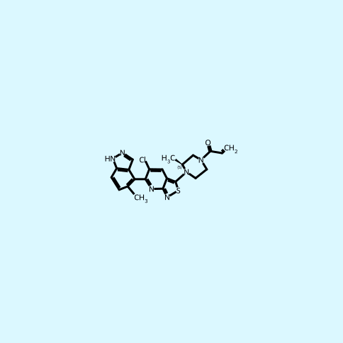 C=CC(=O)N1CCN(c2snc3nc(-c4c(C)ccc5[nH]ncc45)c(Cl)cc23)[C@@H](C)C1